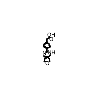 O=C(O)Cc1ccc(C2=NCC3(CCOCC3)CN2)cc1